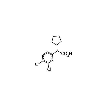 O=C(O)C(c1ccc(Cl)c(Cl)c1)C1CCCC1